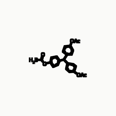 BC(=O)Oc1ccc(C(c2ccc(OC(C)=O)cc2)c2ccc(OC(C)=O)cc2)cc1